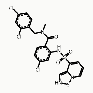 CN(Cc1ccc(Cl)cc1Cl)C(=O)c1ccc(Cl)cc1NS(=O)(=O)C1=CC=CN2SNC=C12